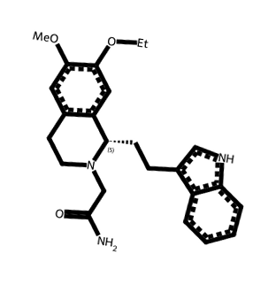 CCOc1cc2c(cc1OC)CCN(CC(N)=O)[C@H]2CCc1c[nH]c2ccccc12